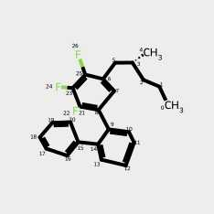 CCC[C@@H](C)Cc1cc(-c2ccccc2-c2ccccc2)c(F)c(F)c1F